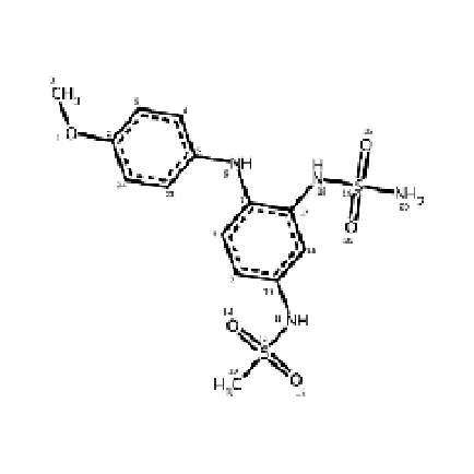 COc1ccc(Nc2ccc(NS(C)(=O)=O)cc2NS(N)(=O)=O)cc1